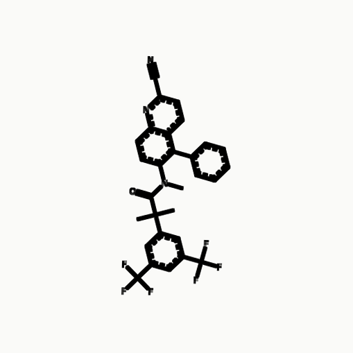 CN(C(=O)C(C)(C)c1cc(C(F)(F)F)cc(C(F)(F)F)c1)c1ccc2nc(C#N)ccc2c1-c1ccccc1